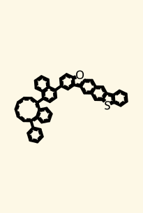 c1ccc(-c2ccccccc(-c3ccc(-c4ccc5oc6cc7cc8c(cc7cc6c5c4)sc4ccccc48)c4ccccc34)c3ccccc23)cc1